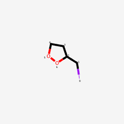 ICC1CCOO1